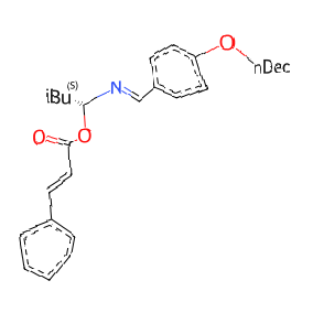 CCCCCCCCCCOc1ccc(C=NC(OC(=O)C=Cc2ccccc2)[C@@H](C)CC)cc1